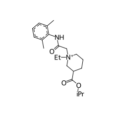 CC[N+]1(CC(=O)Nc2c(C)cccc2C)CCCC(C(=O)OC(C)C)C1